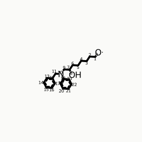 [O]CCCCCCC(O)CN(Cc1ccccc1)c1ccccc1